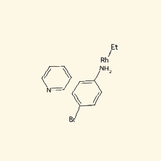 C[CH2][Rh].Nc1ccc(Br)cc1.c1ccncc1